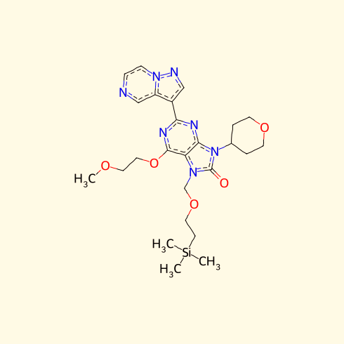 COCCOc1nc(-c2cnn3ccncc23)nc2c1n(COCC[Si](C)(C)C)c(=O)n2C1CCOCC1